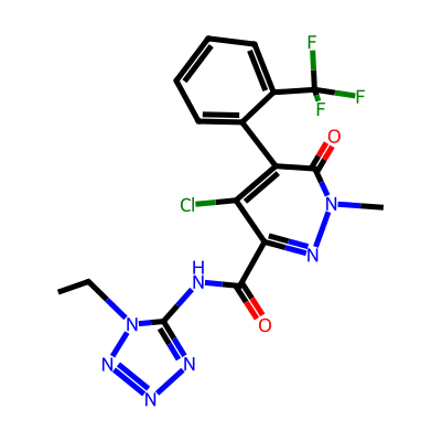 CCn1nnnc1NC(=O)c1nn(C)c(=O)c(-c2ccccc2C(F)(F)F)c1Cl